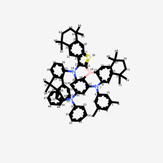 Cc1cc(C)cc(N2c3cc4c(cc3B3c5sc6cc7c(cc6c5N(c5cccc6c5-c5ccccc5C6(C)C)c5cc(N(c6ccccc6)c6ccccc6)cc2c53)C(C)(C)CCC7(C)C)C(C)(C)CCC4(C)C)c1